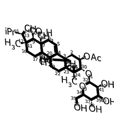 CC(=O)O[C@@H]1C[C@]23C4=CC[C@@]5(C)[C@H](C(=O)O)[C@@](C)([C@H](C)C(C)C)CC[C@]5(C)[C@H]4CC[C@H]2[C@](C)(COC3O)[C@H]1O[C@@H]1OC(CO)[C@@H](O)C(O)[C@@H]1O